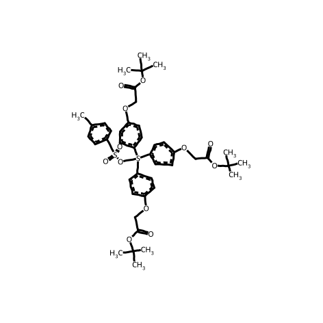 Cc1ccc(S(=O)(=O)OS(c2ccc(OCC(=O)OC(C)(C)C)cc2)(c2ccc(OCC(=O)OC(C)(C)C)cc2)c2ccc(OCC(=O)OC(C)(C)C)cc2)cc1